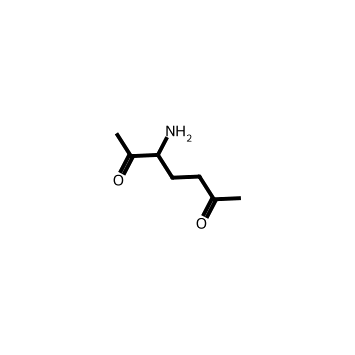 CC(=O)CCC(N)C(C)=O